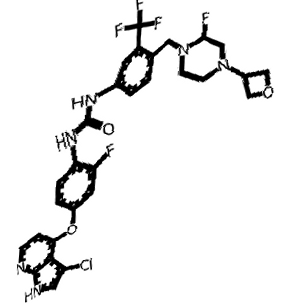 O=C(Nc1ccc(CN2CCN(C3COC3)CC2F)c(C(F)(F)F)c1)Nc1ccc(Oc2ccnc3[nH]cc(Cl)c23)cc1F